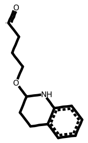 O=[C]CCCOC1CCc2ccccc2N1